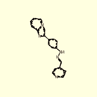 C(=NNc1ccc(-c2cn3ccccc3n2)cc1)c1ccncc1